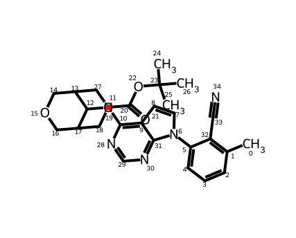 Cc1cccc(-n2ccc3c(OC4C5COCC4CN(C(=O)OC(C)(C)C)C5)ncnc32)c1C#N